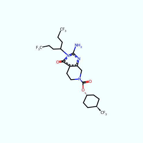 Nc1nc2c(c(=O)n1C(CCC(F)(F)F)CCC(F)(F)F)CCN(C(=O)O[C@H]1CC[C@H](C(F)(F)F)CC1)C2